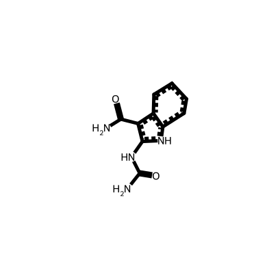 NC(=O)Nc1[nH]c2ccccc2c1C(N)=O